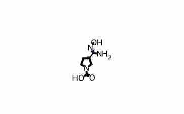 N/C(=N\O)[C@@H]1CCN(C(=O)O)C1